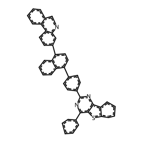 c1ccc(-c2nc(-c3ccc(-c4ccc(-c5ccc6c(c5)ncc5ccccc56)c5ccccc45)cc3)nc3c2sc2ccccc23)cc1